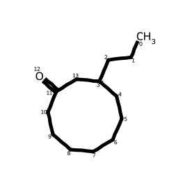 CCC[C]1CCCCCCCC(=O)C1